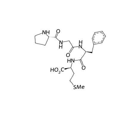 CSCC[C@H](NC(=O)[C@H](Cc1ccccc1)NC(=O)CNC(=O)[C@@H]1CCCN1)C(=O)O